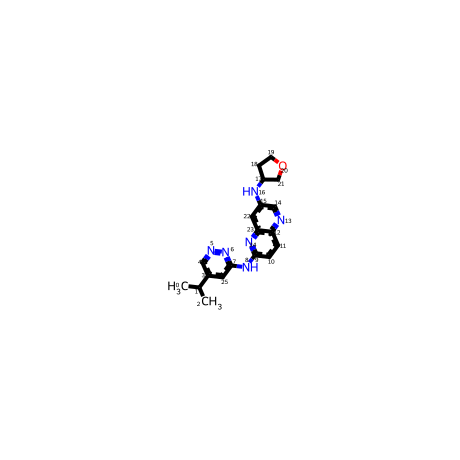 CC(C)c1cnnc(Nc2ccc3ncc(NC4CCOC4)cc3n2)c1